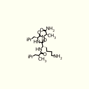 CC(C)C[C@H](NC(=O)[C@H](CCCCN)NC(=O)[C@@H](C)CC(C)C)C(=O)N[C@@H](C)C(N)=O